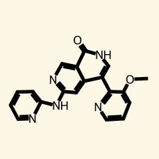 COc1cccnc1-c1c[nH]c(=O)c2cnc(Nc3ccccn3)cc12